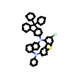 Clc1cc(N(c2ccccc2)c2ccc3c(c2)-c2ccccc2C3(c2ccccc2)c2ccccc2)c2c(c1)sc1ccc(N(c3ccccc3)c3ccccc3)cc12